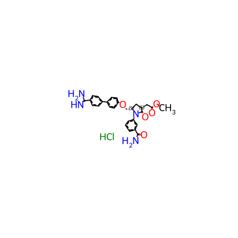 COC(=O)C[C@@H]1C[C@@H](COc2ccc(-c3ccc(C(=N)N)cc3)cc2)N(c2cccc(C(N)=O)c2)C1=O.Cl